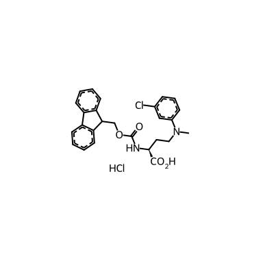 CN(CC[C@H](NC(=O)OCC1c2ccccc2-c2ccccc21)C(=O)O)c1cccc(Cl)c1.Cl